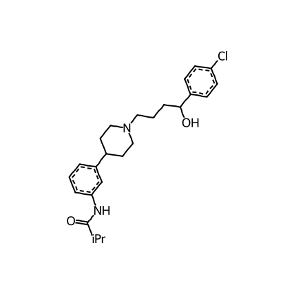 CC(C)C(=O)Nc1cccc(C2CCN(CCCC(O)c3ccc(Cl)cc3)CC2)c1